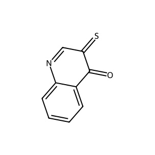 O=C1C(=S)C=Nc2ccccc21